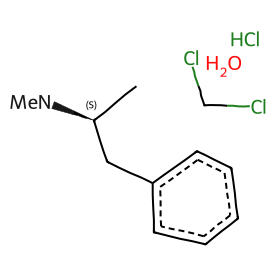 CN[C@@H](C)Cc1ccccc1.Cl.ClCCl.O